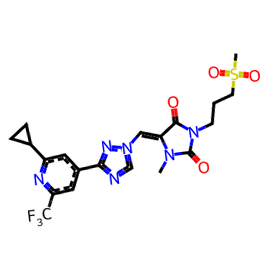 CN1C(=O)N(CCCS(C)(=O)=O)C(=O)C1=Cn1cnc(-c2cc(C3CC3)nc(C(F)(F)F)c2)n1